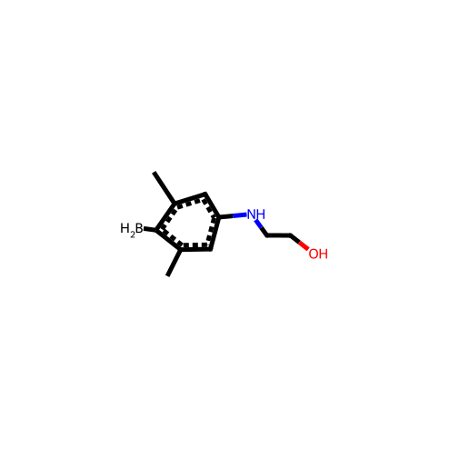 Bc1c(C)cc(NCCO)cc1C